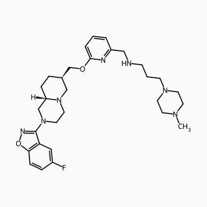 CN1CCN(CCCNCc2cccc(OC[C@@H]3CC[C@H]4CN(c5noc6ccc(F)cc56)CCN4C3)n2)CC1